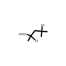 CCCCC[CH]C(C)(CC)CC(C)(C)CC